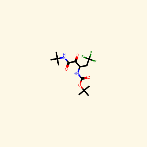 CC(C)(C)NC(=O)C(=O)C(CC(F)(F)F)NC(=O)OC(C)(C)C